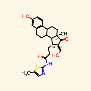 Cc1cnc(NC(=O)CC[C@@H]2/C(=C\O)C(=O)[C@@]3(C)CCC4c5ccc(O)cc5CCC4C23)s1